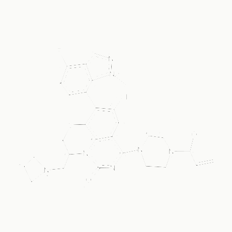 C=CC(O)N1[C@H](C)CN(c2nc(=O)n3c4c(c(-c5ccc(F)c6cnn(C)c56)c(C(F)(F)F)cc24)SCC3CN2CCC2)C[C@@H]1C